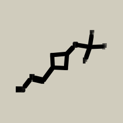 ON=CC1CC(OC(F)(F)F)C1